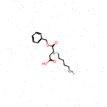 CCCCCC[C@H](CC(=O)O)C(=O)OCc1ccccc1